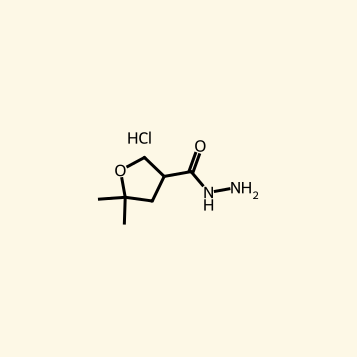 CC1(C)CC(C(=O)NN)CO1.Cl